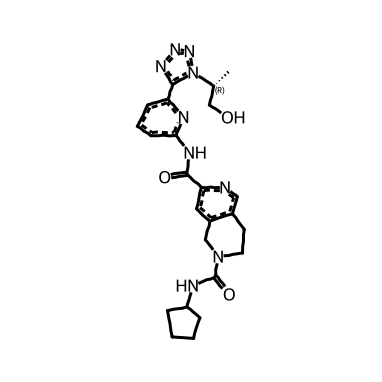 C[C@H](CO)n1nnnc1-c1cccc(NC(=O)c2cc3c(cn2)CCN(C(=O)NC2CCCC2)C3)n1